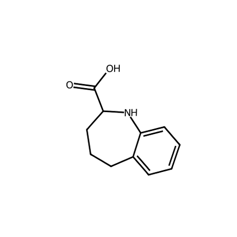 O=C(O)C1CCCc2ccccc2N1